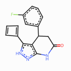 O=C1CC(c2cccc(F)c2)c2c(n[nH]c2C2=CC=C2)N1